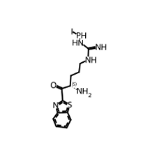 N=C(NCCC[C@H](N)C(=O)c1nc2ccccc2s1)NPI